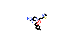 Cc1ccc2cc([C@@H]3c4nc[nH]c4CCN3C(=O)CCc3nccs3)oc2c1